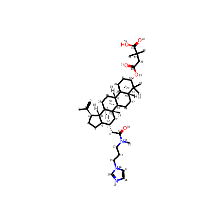 C=C(C)[C@@H]1CCC2[C@@H](CC(=O)N(C)CCCn3ccnc3)C[C@]3(C)[C@H](CC[C@@H]4[C@@]5(C)CC[C@H](OC(=O)CC(C)(C)C(=O)O)C(C)(C)[C@@H]5CC[C@]43C)[C@H]21